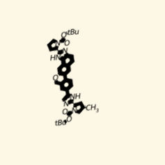 C[C@H]1C[C@@H](c2ncc(-c3ccc4c(c3)COc3cc5c(ccc6nc([C@@H]7CCCN7C(=O)OC(C)(C)C)[nH]c65)cc3-4)[nH]2)N(C(=O)OC(C)(C)C)C1